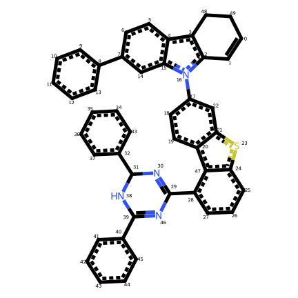 C1=Cc2c(c3ccc(-c4ccccc4)cc3n2-c2ccc3c(c2)sc2cccc(C4=NC(c5ccccc5)NC(c5ccccc5)=N4)c23)CC1